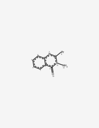 CC(C)c1nc2ccccc2c(=O)n1N